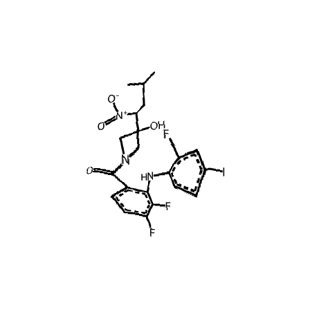 CC(C)CC([N+](=O)[O-])C1(O)CN(C(=O)c2ccc(F)c(F)c2Nc2ccc(I)cc2F)C1